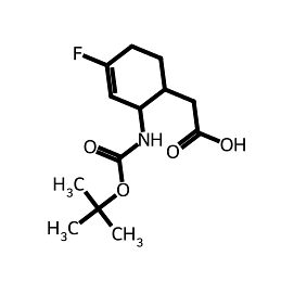 CC(C)(C)OC(=O)NC1C=C(F)CCC1CC(=O)O